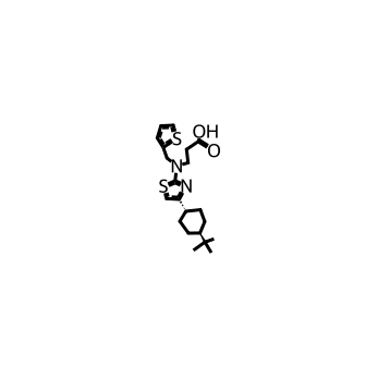 CC(C)(C)[C@H]1CC[C@H](c2csc(N(CCC(=O)O)Cc3cccs3)n2)CC1